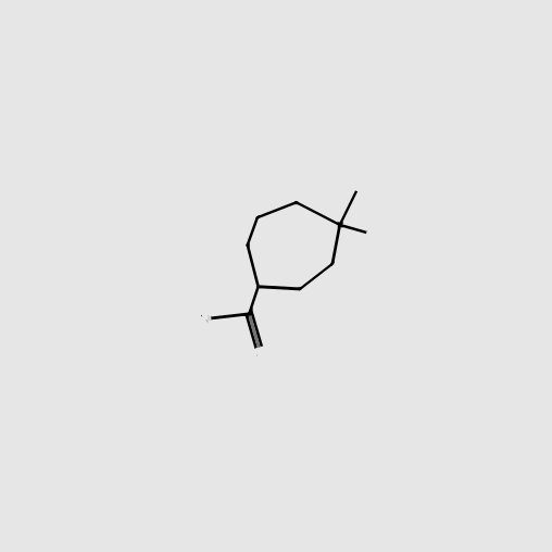 CC1(C)CCCC(C(N)=O)CC1